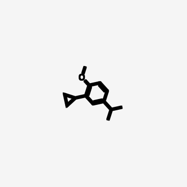 COc1ccc(C(C)C)cc1C1CC1